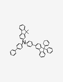 CC1(C)c2ccccc2-c2ccc(N(c3ccc(-c4ccccc4)cc3)c3ccc(-c4ccc5c(c4)-c4ccccc4C5(C4=CC=CCC4)c4ccccc4)cc3)cc21